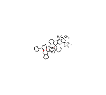 CC1(C)CC(C)(C)c2cc3c(cc21)-c1cccc(N(c2ccc(-c4ccccc4)cc2)c2ccccc2-c2cccc4ccccc24)c1C3(c1ccccc1)c1ccccc1